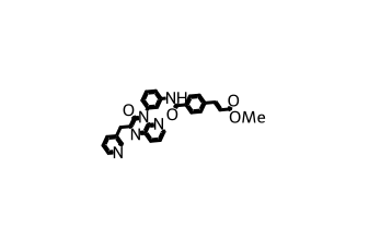 COC(=O)C=Cc1ccc(C(=O)Nc2cccc(-n3c(=O)c(Cc4cccnc4)nc4cccnc43)c2)cc1